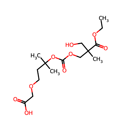 CCOC(=O)C(C)(CO)COC(=O)OC(C)(C)CCOCC(=O)O